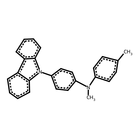 Cc1ccc(N(C)c2ccc(-n3c4ccccc4c4ccccc43)cc2)cc1